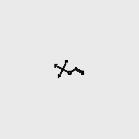 FC(F)(F)O[C]=S